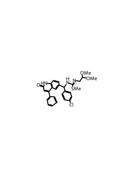 COC(C/N=C(/NC(c1ccc(Cl)cc1)c1ccc2[nH]c(=O)cc(-c3ccccc3)c2c1)SC)OC